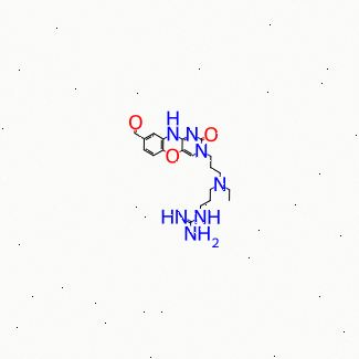 CCN(CCCNC(=N)N)CCCn1cc2c(nc1=O)Nc1cc(C=O)ccc1O2